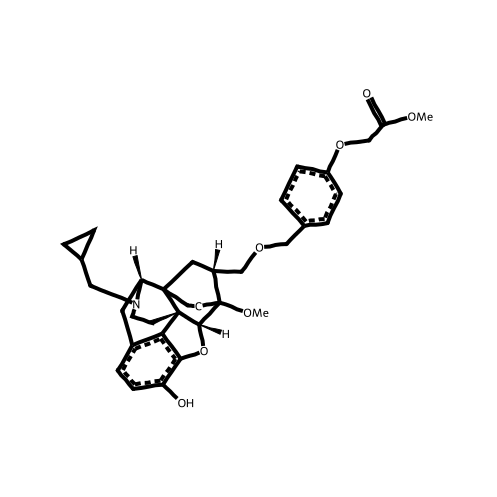 COC(=O)COc1ccc(COC[C@H]2CC34CCC2(OC)[C@@H]2Oc5c(O)ccc6c5[C@@]23CCN(CC2CC2)[C@@H]4C6)cc1